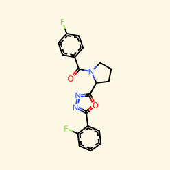 O=C(c1ccc(F)cc1)N1CCCC1c1nnc(-c2ccccc2F)o1